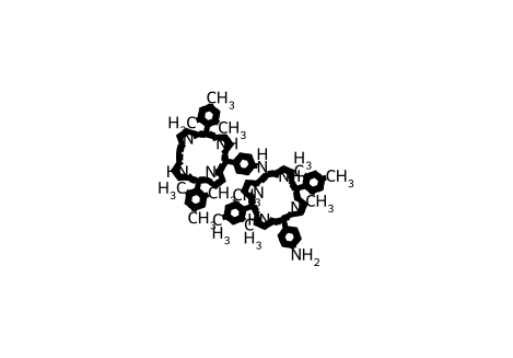 Cc1cc(C)c(-c2c3nc(c(-c4ccc(Nc5c6nc(c(-c7c(C)cc(C)cc7C)c7ccc([nH]7)c(-c7ccc(N)cc7)c7nc(c(-c8c(C)cc(C)cc8C)c8ccc5[nH]8)C=C7)C=C6)cc4)c4ccc([nH]4)c(-c4c(C)cc(C)cc4C)c4nc(cc5ccc2[nH]5)C=C4)C=C3)c(C)c1